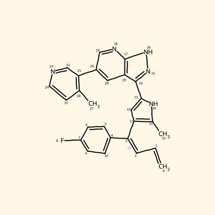 C=C/C=C(/c1ccc(F)cc1)c1cc(-c2n[nH]c3ncc(-c4cnccc4C)cc23)[nH]c1C